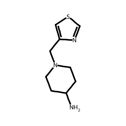 NC1CCN(Cc2cscn2)CC1